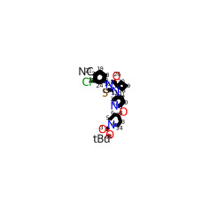 CC(C)(C)OC(=O)N1CCC(Oc2ccc(N3C(=S)N(c4ccc(C#N)c(Cl)c4)C(=O)C34CCC4)cn2)CC1